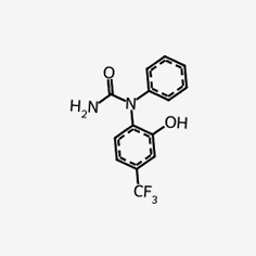 NC(=O)N(c1ccccc1)c1ccc(C(F)(F)F)cc1O